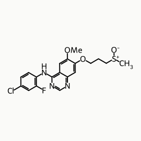 COc1cc2c(Nc3ccc(Cl)cc3F)ncnc2cc1OCCC[S+](C)[O-]